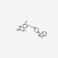 CN1C(=O)CC(C)(C)c2cc(CCCN3CCN(c4nsc5ccccc45)CC3)c(F)cc21